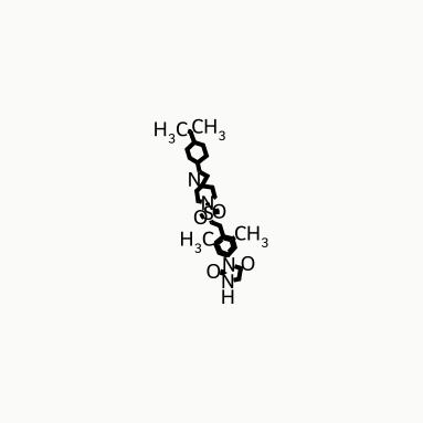 Cc1cc(N2C(=O)CNC2=O)cc(C)c1CCS(=O)(=O)N1CCC2(CC1)CC(C1CCC(C(C)C)CC1)=N2